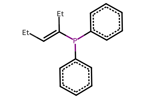 CC/C=C(\CC)P(c1ccccc1)c1ccccc1